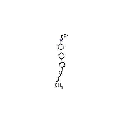 CC=CCCOCc1ccc(C2CCC([C@H]3CC[C@H](/C=C/CCC)CC3)CC2)cc1